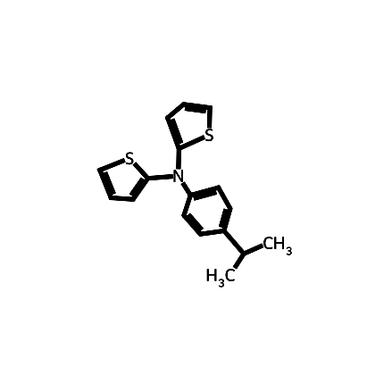 CC(C)c1ccc(N(c2cccs2)c2cccs2)cc1